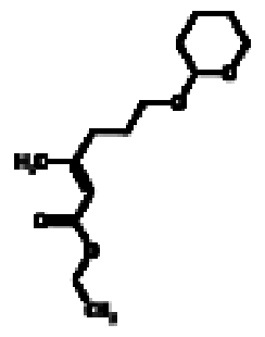 CCOC(=O)C=C(C)CCCOC1CCCCO1